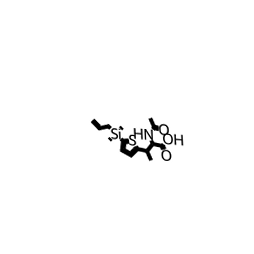 C=CC[Si](C)(C)c1ccc(C(C)C(NC(C)=O)C(=O)O)s1